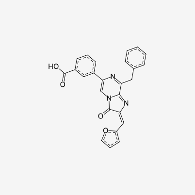 O=C(O)c1cccc(C2=CN3C(=O)C(=Cc4ccco4)N=C3C(Cc3ccccc3)=N2)c1